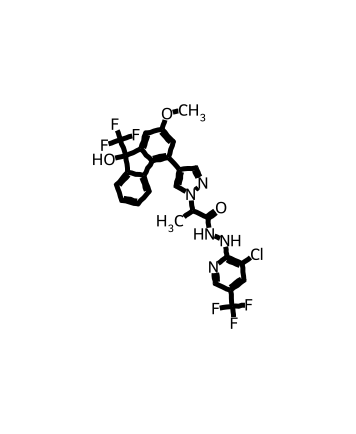 COc1cc(-c2cnn(C(C)C(=O)NNc3ncc(C(F)(F)F)cc3Cl)c2)c2c(c1)C(O)(C(F)(F)F)c1ccccc1-2